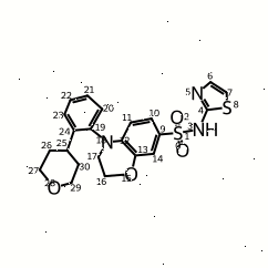 O=S(=O)(Nc1nccs1)c1ccc2c(c1)OCCN2c1ccccc1C1CCOCC1